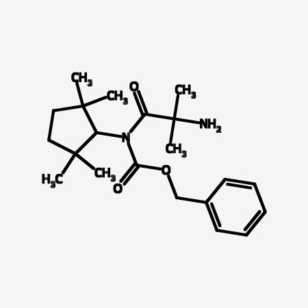 CC(C)(N)C(=O)N(C(=O)OCc1ccccc1)C1C(C)(C)CCC1(C)C